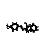 COc1ccc(/N=N/c2nc3ccccc3n2C)cc1